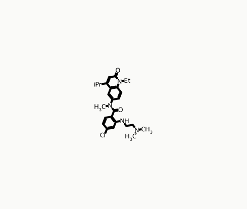 CCn1c(=O)cc(C(C)C)c2cc(N(C)C(=O)c3ccc(Cl)cc3NCCN(C)C)ccc21